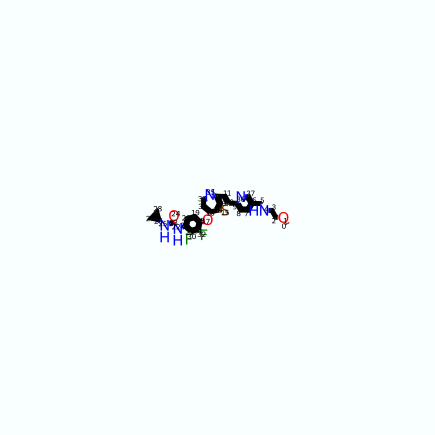 COCCNCc1ccc(C2=CC3=C=C(S2)C(Oc2ccc(NC(=O)NC4CC4)c(F)c2F)=CC=N3)nc1